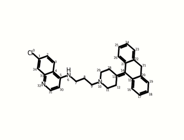 Clc1ccc2c(NCCCN3CCC(=C4c5ccccc5Cc5ccccc54)CC3)ccnc2c1